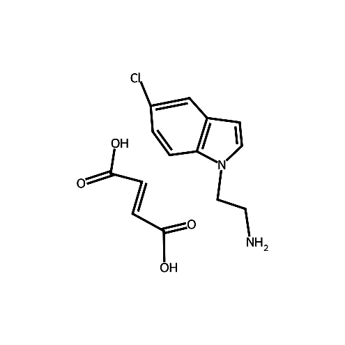 NCCn1ccc2cc(Cl)ccc21.O=C(O)/C=C/C(=O)O